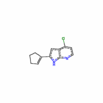 Clc1ccnc2[nH]c(C3=CCCC3)cc12